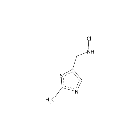 Cc1ncc(CNCl)s1